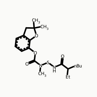 CCCCC(CC)C(=O)NSN(C)C(=O)Oc1cccc2c1OC(C)(C)C2